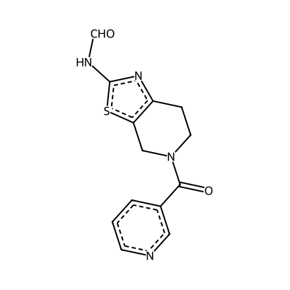 O=CNc1nc2c(s1)CN(C(=O)c1cccnc1)CC2